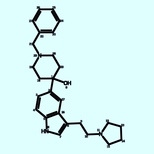 OC1(c2ccc3[nH]cc(CCN4CCCC4)c3c2)CCN(Cc2ccccc2)CC1